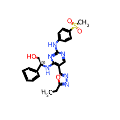 CCc1nnc(-c2cnc(Nc3ccc(S(C)(=O)=O)cc3)nc2N[C@H](CO)c2ccccc2)o1